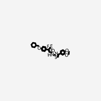 O=C(C=C(c1ccc(OCC2CCCCC2)cc1)C(F)(F)F)Nc1nc(-c2ccc3c(c2)OCCO3)cs1